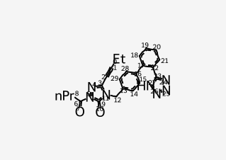 CCC#Cc1nn(C(=O)CCC)c(=O)n1Cc1ccc(-c2ccccc2-c2nnn[nH]2)cc1